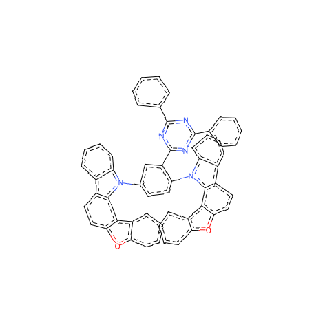 c1ccc(-c2nc(-c3ccccc3)nc(-c3cc(-n4c5ccccc5c5ccc6oc7ccccc7c6c54)ccc3-n3c4ccccc4c4ccc5oc6ccccc6c5c43)n2)cc1